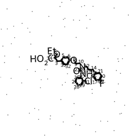 CCOC(Cc1ccc(OCCN(CCCc2ccc(F)cc2)C(=O)Nc2ccccc2Cl)cc1)C(=O)O